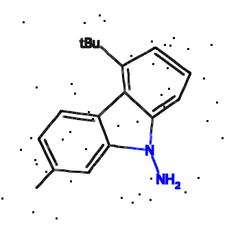 Cc1ccc2c3c(C(C)(C)C)cccc3n(N)c2c1